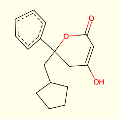 O=C1C=C(O)CC(CC2CCCC2)(c2ccccc2)O1